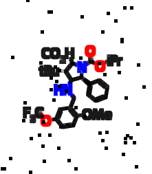 COc1ccc(OC(F)(F)F)cc1CN[C@H]1[C@H](C(C)(C)C)[C@@H](C(=O)O)N(C(=O)OC(C)C)[C@H]1c1ccccc1